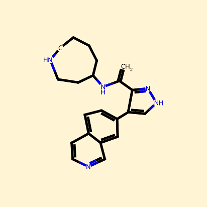 C=C(NC1CCCCNCC1)c1n[nH]cc1-c1ccc2ccncc2c1